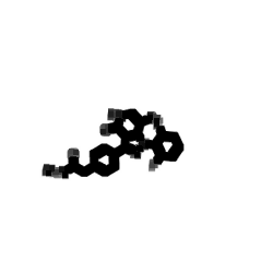 CNC(=O)Cc1ccc(-c2nn(-c3c(F)cccc3F)c3c(Br)c[nH]c(=O)c23)cc1